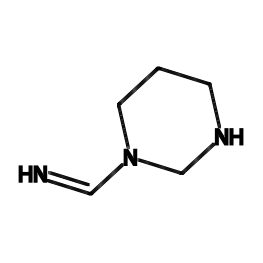 N=CN1CCCNC1